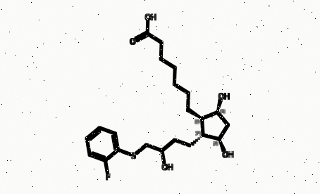 O=C(O)CCCCCC[C@@H]1[C@@H](CCC(O)CSc2ccccc2F)[C@H](O)C[C@@H]1O